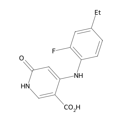 CCc1ccc(Nc2cc(=O)[nH]cc2C(=O)O)c(F)c1